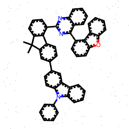 CC1(C)c2cc(-c3ccc4c(c3)c3ccccc3n4-c3ccccc3)ccc2-c2c(-c3nc(-c4cccc5oc6ccccc6c45)c4ccccc4n3)cccc21